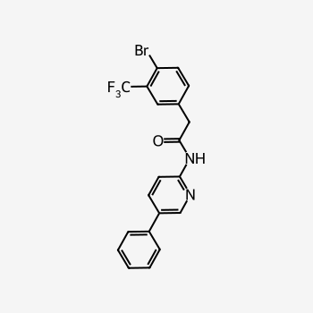 O=C(Cc1ccc(Br)c(C(F)(F)F)c1)Nc1ccc(-c2ccccc2)cn1